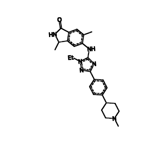 CCn1nc(-c2ccc(C3CCN(C)CC3)cc2)nc1Nc1cc2c(cc1C)C(=O)NC2C